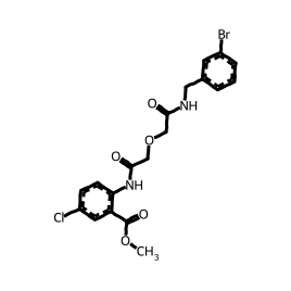 COC(=O)c1cc(Cl)ccc1NC(=O)COCC(=O)NCc1cccc(Br)c1